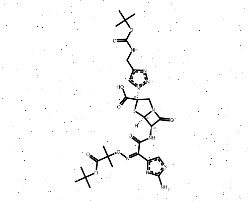 CC(C)(C)OC(=O)NCc1cn([C@]2(C(=O)O)CN3C(=O)[C@@H](NC(=O)/C(=N\OC(C)(C)C(=O)OC(C)(C)C)c4csc(N)n4)[C@H]3S2)nn1